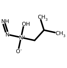 CC(C)C[N+]([O-])(O)N=N